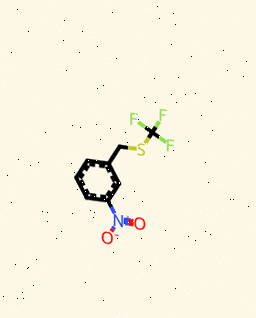 O=[N+]([O-])c1cccc(CSC(F)(F)F)c1